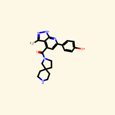 O=C(c1cc(-c2ccc(O)cc2)nc2[nH]nc(C(F)(F)F)c12)N1CCC2(CCNCC2)C1